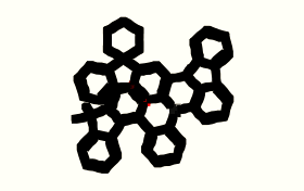 CC1(C)c2ccccc2-c2c(-c3ccccc3N3c4cc5c(cc4C4(C)c6ccccc6-c6cccc3c64)C3(CCCCC3)c3ccccc3-5)cccc21